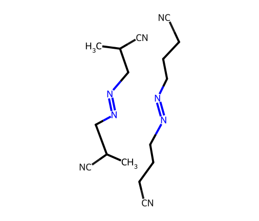 CC(C#N)CN=NCC(C)C#N.N#CCCCN=NCCCC#N